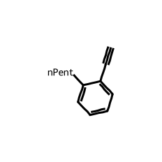 C#Cc1ccccc1CCCCC